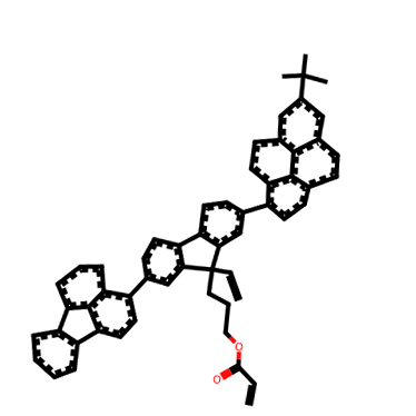 C=CC(=O)OCCCC1(C=C)c2cc(-c3ccc4c5c(cccc35)-c3ccccc3-4)ccc2-c2ccc(-c3ccc4ccc5cc(C(C)(C)C)cc6ccc3c4c56)cc21